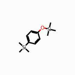 C[Si](C)(C)Oc1ccc([Si](C)(C)C)cc1